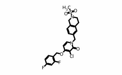 CS(=O)(=O)N1CCc2cc(Cn3ccc(OCc4ccc(F)cc4F)c(Cl)c3=O)ccc2C1